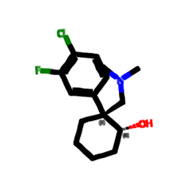 CN(C)C[C@]1(c2ccc(Cl)c(F)c2)CCCC[C@H]1O